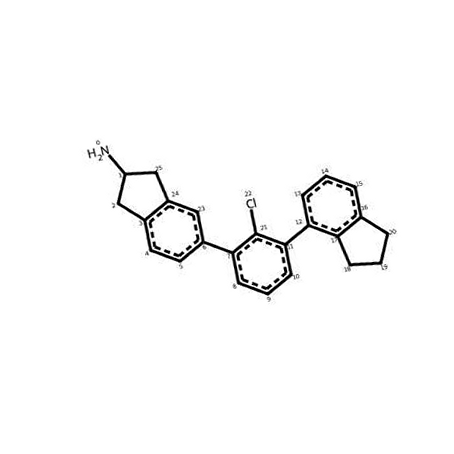 NC1Cc2ccc(-c3cccc(-c4cccc5c4CCC5)c3Cl)cc2C1